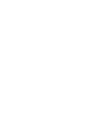 C[C@@H](N=C=S)C1CCCCO1